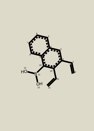 C=Cc1cc2ccccc2c(B(O)O)c1C=C